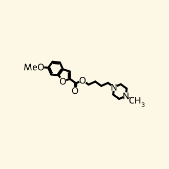 COc1ccc2cc(C(=O)OCCCCN3CCN(C)CC3)oc2c1